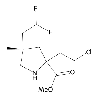 COC(=O)C1(CCCl)C[C@@](C)(CC(F)F)CN1